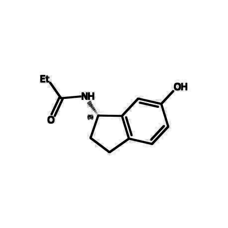 CCC(=O)N[C@H]1CCc2ccc(O)cc21